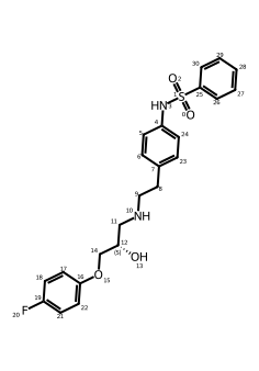 O=S(=O)(Nc1ccc(CCNC[C@H](O)COc2ccc(F)cc2)cc1)c1ccccc1